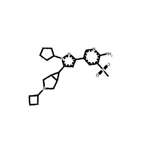 CS(=O)(=O)c1cc(-c2cc(C3C4CN(C5CCC5)CC43)n(C3CCCC3)n2)cnc1N